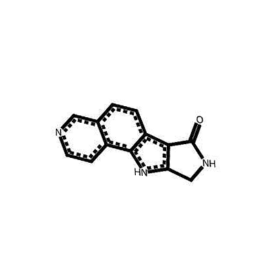 O=C1NCc2[nH]c3c(ccc4cnccc43)c21